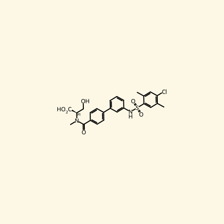 Cc1cc(S(=O)(=O)Nc2cccc(-c3ccc(C(=O)N(C)[C@H](CO)C(=O)O)cc3)c2)c(C)cc1Cl